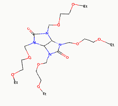 CCOCCOCN1C(=O)N(COCCOCC)C2C1N(COCCOCC)C(=O)N2COCCOCC